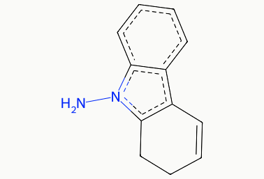 Nn1c2c(c3ccccc31)C=CCC2